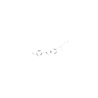 CNc1ccc(-c2nc3ccc(ONCOC)cc3s2)cc1